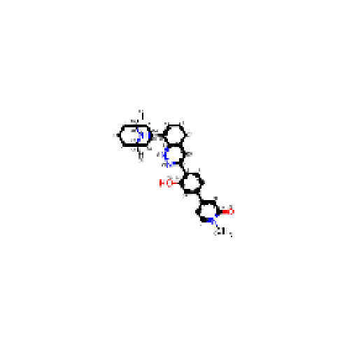 Cn1ccc(-c2ccc(-c3cc4c(nn3)C([C@@H]3C[C@H]5CCC[C@@H](C3)N5)=CCC4)c(O)c2)cc1=O